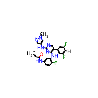 [2H]c1c(F)cc(-c2cnc(Nc3cnn(C)c3)nc2Nc2cc(NC(=O)C=C)ccc2F)cc1F